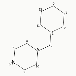 C1CCC(CC2CC[N]CC2)CC1